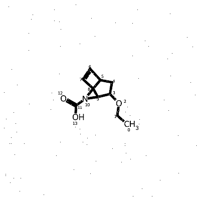 CCOC1CC2C=CC23C1N3C(=O)O